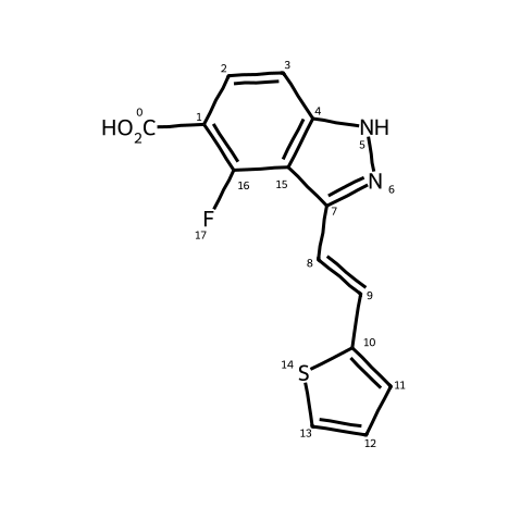 O=C(O)c1ccc2[nH]nc(C=Cc3cccs3)c2c1F